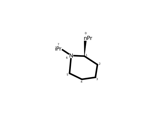 CCC[C@H]1CCCCN1C(C)C